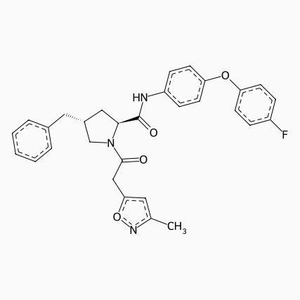 Cc1cc(CC(=O)N2C[C@H](Cc3ccccc3)C[C@H]2C(=O)Nc2ccc(Oc3ccc(F)cc3)cc2)on1